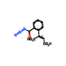 [N-]=[N+]=NC(=O)c1ccccc1/C(=C/C(=O)O)C(=O)O